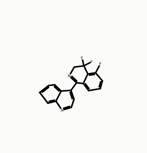 Fc1cccc2c1C(F)(F)CN=C2c1ccnc2ccccc12